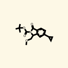 COCC1c2cc(C3CC3)ccc2C(=O)N1C(=O)OC(C)(C)C